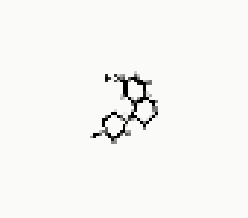 CN1CCN(C2CCCc3ccc(O)cc32)CC1